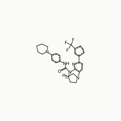 O=C(Nc1ccc(N2CCCCC2)cc1)N1c2nc(-c3cccc(C(F)(F)F)c3)ccc2N2CC[C@H]1C2